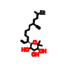 C#C/C(=C\C=C(/C)CC)CC/C=C\C=C(/C=C)[C@@H]1OC(C)(C)[C@@H](O)[C@H](O)[C@H]1O